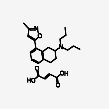 CCCN(CCC)C1CCc2cccc(-c3cc(C)no3)c2C1.O=C(O)C=CC(=O)O